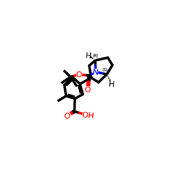 Cc1ccc(C2C[C@H]3CC[C@@H](C2)N3C(=O)OC(C)(C)C)cc1C(=O)O